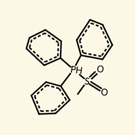 CS(=O)(=O)[PH](c1ccccc1)(c1ccccc1)c1ccccc1